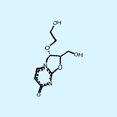 O=c1ccn2c(n1)OC(CO)[C@H]2OCCO